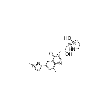 Cc1cc(-c2ccn(C)n2)cc2c(=O)n(CC(O)C[C@H]3NCCC[C@@H]3O)cnc12